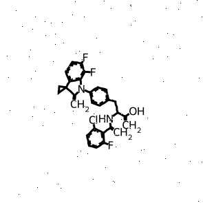 C=C(NC(Cc1ccc(N2C(=C)C3(CC3)c3ccc(F)c(F)c32)cc1)C(=C)O)c1c(F)cccc1Cl